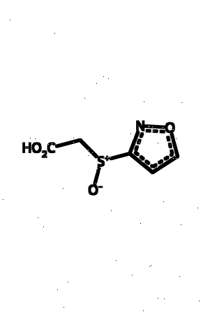 O=C(O)C[S+]([O-])c1ccon1